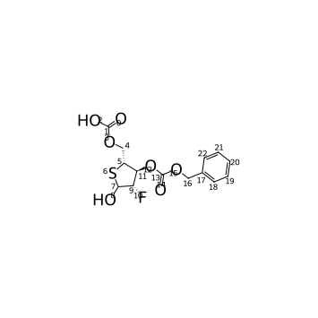 O=C(O)OC[C@H]1SC(O)[C@@H](F)[C@@H]1OC(=O)OCc1ccccc1